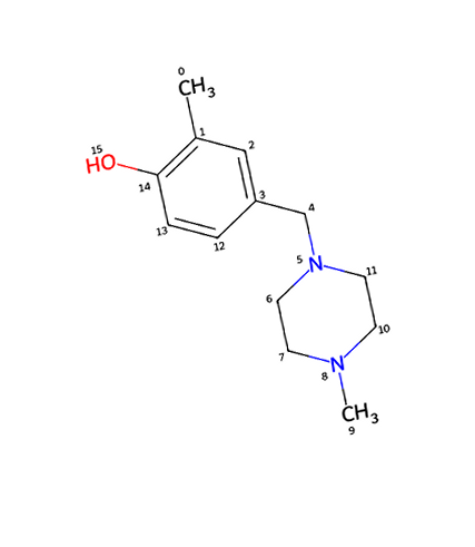 Cc1cc(CN2CCN(C)CC2)ccc1O